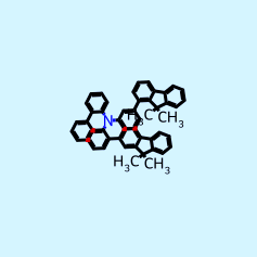 CC1(C)c2ccccc2-c2ccc(-c3ccccc3N(c3cccc(-c4cccc5c4C(C)(C)c4ccccc4-5)c3)c3ccccc3-c3ccccc3)cc21